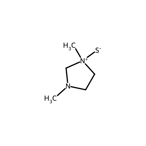 CN1CC[N+](C)([S-])C1